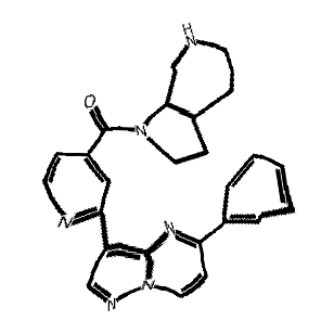 O=C(c1ccnc(-c2cnn3ccc(-c4ccccc4)nc23)c1)N1CCC2CCNCC21